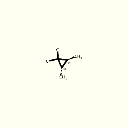 C[C@H]1[C@H](C)C1(Cl)Cl